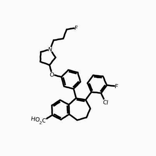 O=C(O)c1ccc2c(c1)CCCC(c1cccc(F)c1Cl)=C2c1cccc(OC2CCN(CCCF)C2)c1